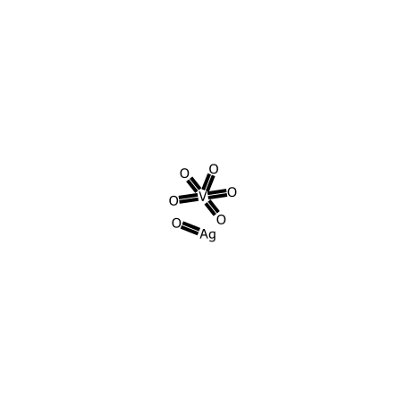 [O]=[Ag].[O]=[V](=[O])(=[O])(=[O])=[O]